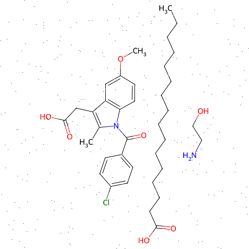 CCCCCCCCCCCCCCCC(=O)O.COc1ccc2c(c1)c(CC(=O)O)c(C)n2C(=O)c1ccc(Cl)cc1.NCCO